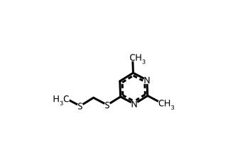 CSCSc1cc(C)nc(C)n1